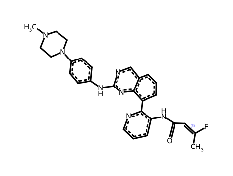 C/C(F)=C\C(=O)Nc1cccnc1-c1cccc2cnc(Nc3ccc(N4CCN(C)CC4)cc3)nc12